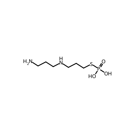 NCCCNCCCSP(=O)(O)O